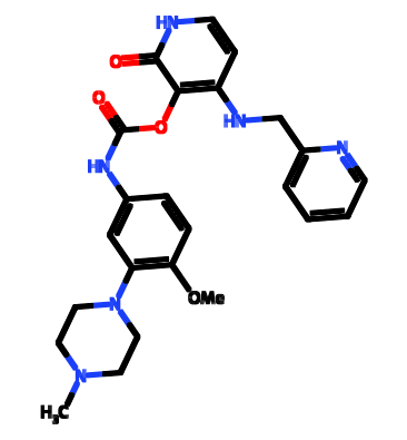 COc1ccc(NC(=O)Oc2c(NCc3ccccn3)cc[nH]c2=O)cc1N1CCN(C)CC1